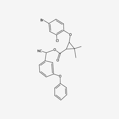 CC1(C)C(Oc2ccc(Br)cc2Cl)C1C(=O)OC(C#N)c1cccc(Oc2ccccc2)c1